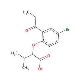 CCC(=O)c1cc(Br)ccc1OC(C(=O)O)C(C)C